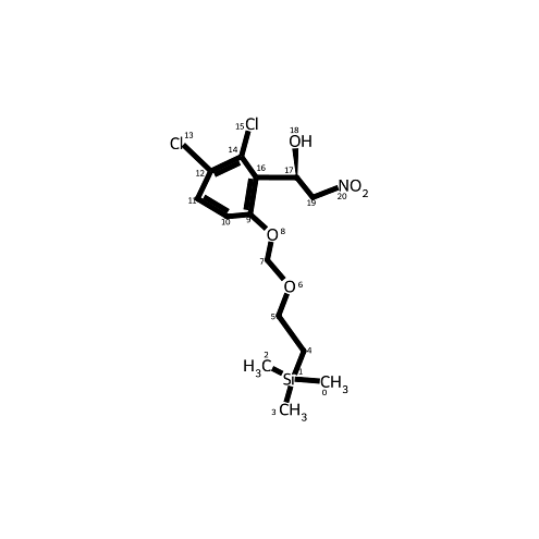 C[Si](C)(C)CCOCOc1ccc(Cl)c(Cl)c1[C@@H](O)C[N+](=O)[O-]